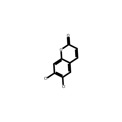 O=c1ccc2cc(Cl)c(Cl)cc2o1